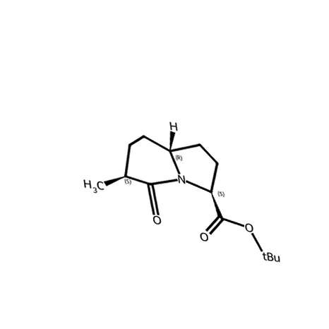 C[C@H]1CC[C@@H]2CC[C@@H](C(=O)OC(C)(C)C)N2C1=O